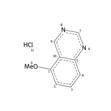 COc1cccc2ncncc12.Cl